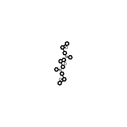 c1ccc(N(c2ccc(-c3cccc4c3oc3ccccc34)cc2)c2ccc3c(c2)-c2cccc4cc(N(c5ccccc5)c5ccc(-c6cccc7c6oc6ccccc67)cc5)cc(c24)O3)cc1